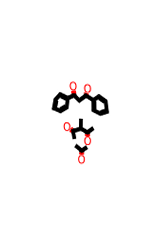 CC(=O)C(C)C(C)=O.CC(C)=O.O=C(CC(=O)c1ccccc1)c1ccccc1